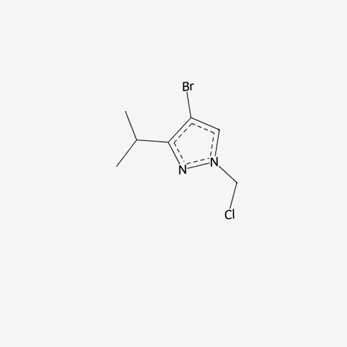 CC(C)c1nn(CCl)cc1Br